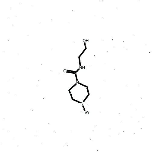 CC(C)N1CCN(C(=O)NCCO)CC1